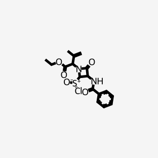 C=C(C)C(C(=O)OCC)N1C(=O)C(NC(=O)c2ccccc2)C1[S+]([O-])Cl